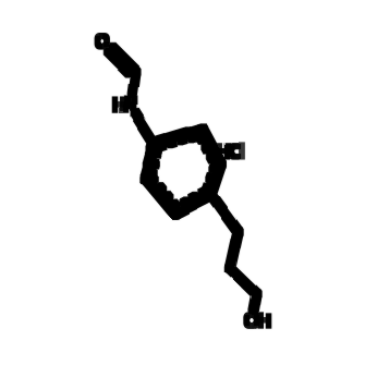 Cl.O=CNc1ccc(CCCO)cc1